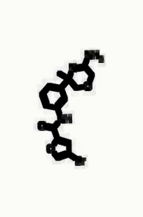 CC1(c2cccc(NC(=O)c3cc(Br)co3)c2)COCC(N)=N1